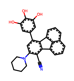 N#Cc1c(N2CCCCC2)cc(-c2cc(O)c(O)c(O)c2)c2c1-c1cccc3cccc-2c13